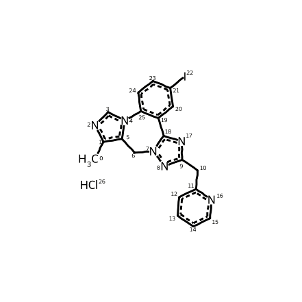 Cc1ncn2c1Cn1nc(Cc3ccccn3)nc1-c1cc(I)ccc1-2.Cl